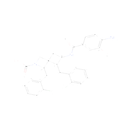 Nc1ccc(C(=O)NC2CC3(CN(C(=O)O)C3Cc3ccccc3Cl)C2Cc2ccccc2Cl)cc1O